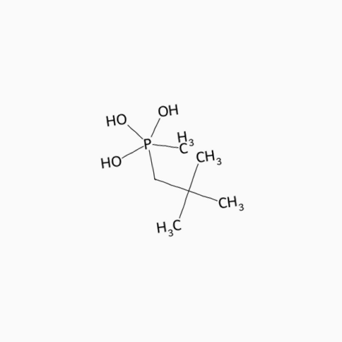 CC(C)(C)CP(C)(O)(O)O